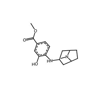 COC(=O)c1ccc(NC2CC3CCC(C2)N3C)c(O)c1